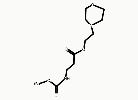 CC(C)(C)OC(=O)NCCC(=O)OCCN1CCOCC1